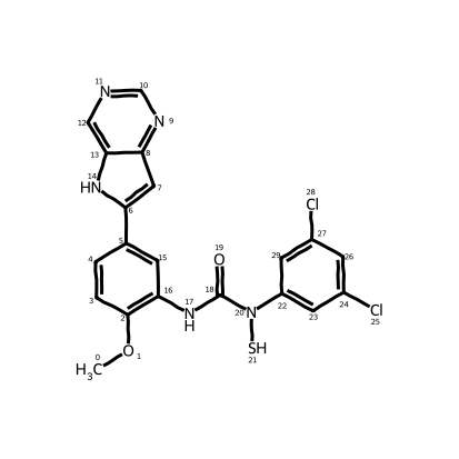 COc1ccc(-c2cc3ncncc3[nH]2)cc1NC(=O)N(S)c1cc(Cl)cc(Cl)c1